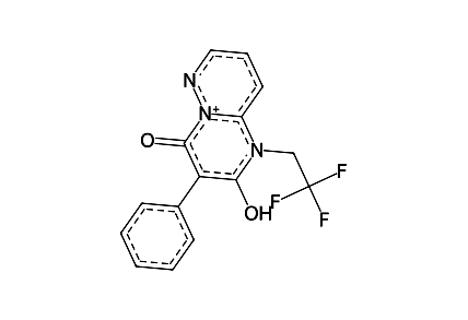 O=c1c(-c2ccccc2)c(O)n(CC(F)(F)F)c2cccn[n+]12